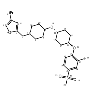 CC(C)c1noc(CN2CCC(O[C@H]3CC[C@H](Oc4ccc(S(C)(=O)=O)cc4F)CC3)CC2)n1